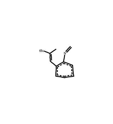 C=Nc1ccccc1/C=C(\C)C(C)(C)C